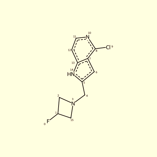 FC1CN(Cc2cc3c(Cl)nccc3[nH]2)C1